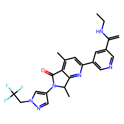 C=C(NCC)c1cncc(-c2cc(C)c3c(n2)C(C)N(c2cnn(CC(F)(F)F)c2)C3=O)c1